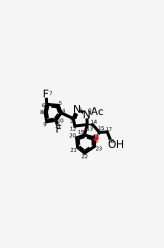 CC(=O)N1N=C(c2cc(F)ccc2F)C[C@@]1(CC(F)CO)c1ccccc1